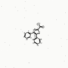 O=C(Cl)c1nc(-c2ccccc2)c(-c2ccccc2)s1